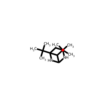 CC(C)(C)C1C2NCCC1(C(C)(C)C)N2